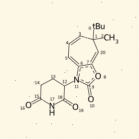 CC(C)(C)C1(C)C=CC=c2c(oc(=O)n2C2CCC(=O)NC2=O)=C1